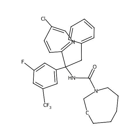 O=C(NC(Cc1ccccc1)(c1cc(F)cc(C(F)(F)F)c1)c1ccc(Cl)cn1)N1CCCCCCC1